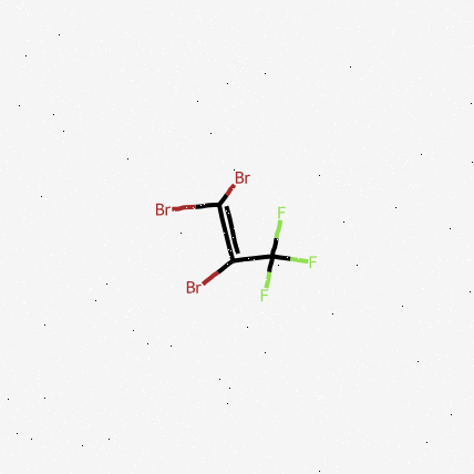 FC(F)(F)C(Br)=C(Br)Br